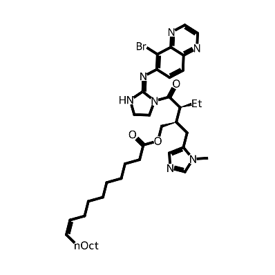 CCCCCCCC/C=C\CCCCCCCC(=O)OC[C@H](Cc1cncn1C)[C@H](CC)C(=O)N1CCN/C1=N/c1ccc2nccnc2c1Br